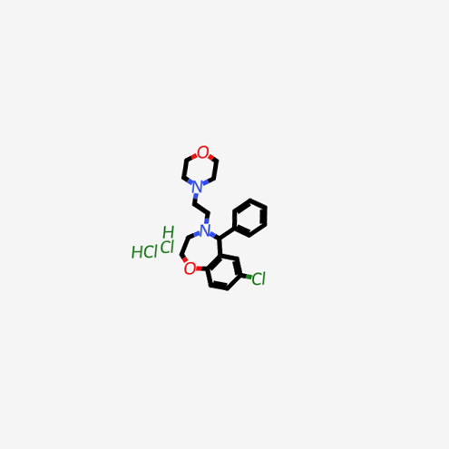 Cl.Cl.Clc1ccc2c(c1)C(c1ccccc1)N(CCN1CCOCC1)CCO2